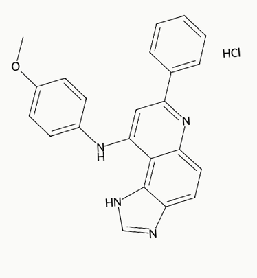 COc1ccc(Nc2cc(-c3ccccc3)nc3ccc4nc[nH]c4c23)cc1.Cl